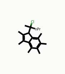 CCCC(C)(Cl)C1C(C)=C(C)c2c(C)c(C)c(C)c(C)c21